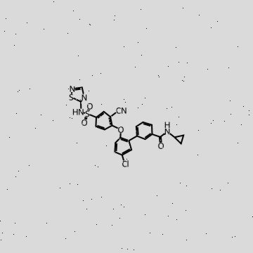 N#Cc1cc(S(=O)(=O)Nc2ncns2)ccc1Oc1ccc(Cl)cc1-c1cccc(C(=O)NC2CC2)c1